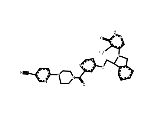 Cc1c(N2Cc3ccccc3C2COc2ccnc(C(=O)N3CCN(c4ccc(C#N)cn4)CC3)c2)cn[nH]c1=O